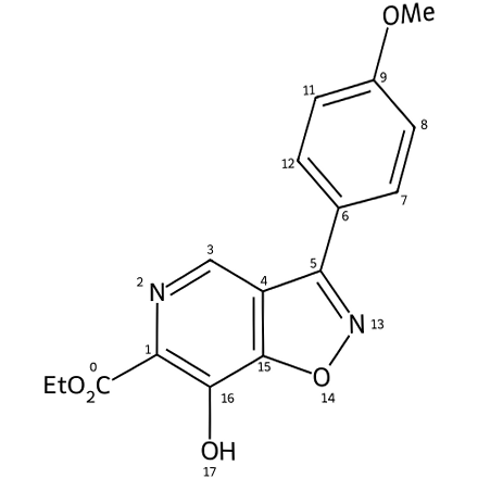 CCOC(=O)c1ncc2c(-c3ccc(OC)cc3)noc2c1O